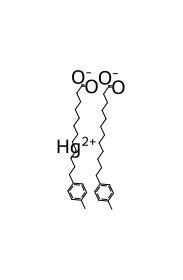 Cc1ccc(CCCCCCCCCCCC(=O)[O-])cc1.Cc1ccc(CCCCCCCCCCCC(=O)[O-])cc1.[Hg+2]